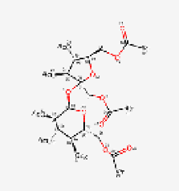 CC(=O)O[C@@H]1[C@@H](OC(C)=O)[C@@H](O[C@]2(COC(=O)C(C)C)O[C@H](COC(=O)C(C)C)[C@@H](OC(C)=O)[C@@H]2OC(C)=O)O[C@H](COC(=O)C(C)C)[C@H]1OC(C)=O